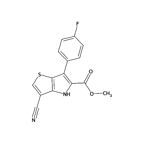 COC(=O)c1[nH]c2c(C#N)csc2c1-c1ccc(F)cc1